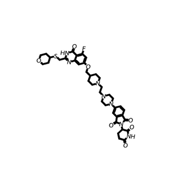 O=C1CCC(N2C(=O)c3ccc(N4CCN(CCN5CCC(COc6cc(F)c7c(=O)[nH]c(CSC8CCOCC8)nc7c6)CC5)CC4)cc3C2=O)C(=O)N1